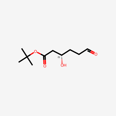 CC(C)(C)OC(=O)C[C@@H](O)CCC=O